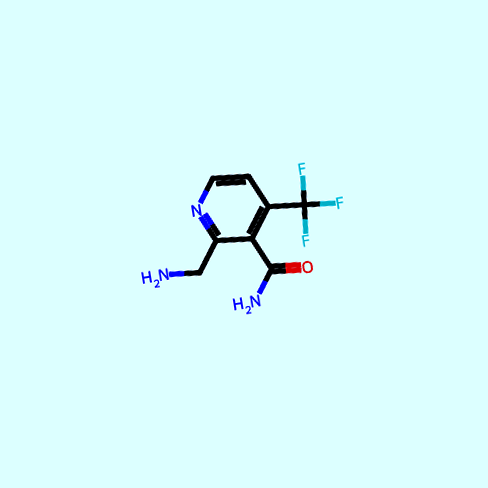 NCc1nccc(C(F)(F)F)c1C(N)=O